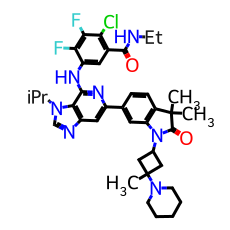 CCNC(=O)c1cc(Nc2nc(-c3ccc4c(c3)N(C3CC(C)(N5CCCCC5)C3)C(=O)C4(C)C)cc3ncn(C(C)C)c23)c(F)c(F)c1Cl